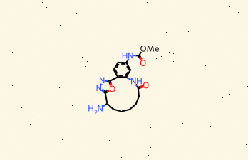 COC(=O)Nc1ccc2c(c1)NC(=O)CCCCCC(N)c1nnc-2o1